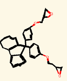 C1=CC2=C(CC1)c1ccccc1C2(c1ccc(OCC2CO2)cc1)c1ccc(OCC2CO2)cc1